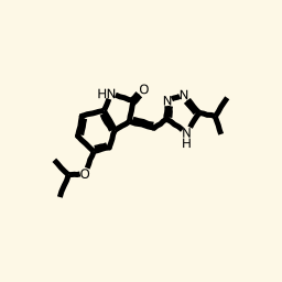 CC(C)Oc1ccc2c(c1)/C(=C/c1nnc(C(C)C)[nH]1)C(=O)N2